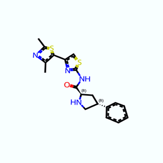 Cc1nc(C)c(-c2csc(NC(=O)[C@H]3C[C@H](c4ccccc4)CN3)n2)s1